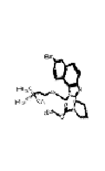 CC(C)(C)OC(=O)N1CCC[C@H]1c1nc2ccc3cc(Br)ccc3c2n1COCC[Si](C)(C)C